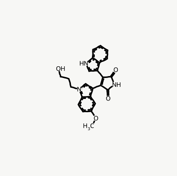 COc1ccc2c(c1)c(C1=C(c3c[nH]c4ccccc34)C(=O)NC1=O)cn2CCCO